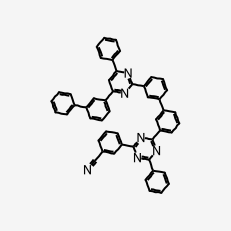 N#Cc1cccc(-c2nc(-c3ccccc3)nc(-c3cccc(-c4cccc(-c5nc(-c6ccccc6)cc(-c6cccc(-c7ccccc7)c6)n5)c4)c3)n2)c1